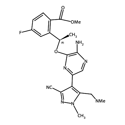 CNCc1c(-c2cnc(N)c(O[C@H](C)c3cc(F)ccc3C(=O)OC)n2)c(C#N)nn1C